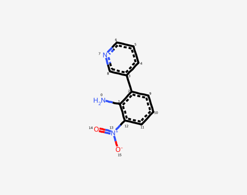 Nc1c(-c2cccnc2)cccc1[N+](=O)[O-]